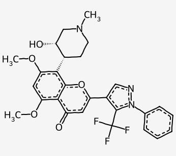 COc1cc(OC)c2c(=O)cc(-c3cnn(-c4ccccc4)c3C(F)(F)F)oc2c1[C@H]1CCN(C)C[C@H]1O